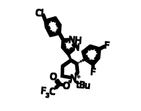 CC(C)(C)[N+]1(OC(=O)C(F)(F)F)CC[C@@H](c2cc(-c3ccc(Cl)cc3)[nH]n2)[C@H](c2ccc(F)cc2F)C1